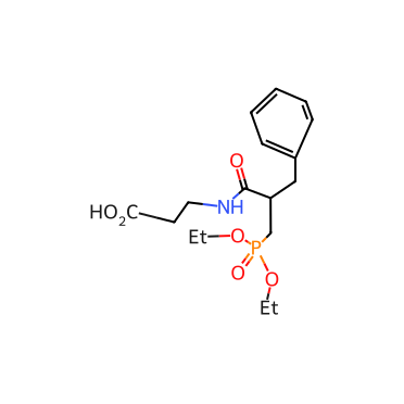 CCOP(=O)(CC(Cc1ccccc1)C(=O)NCCC(=O)O)OCC